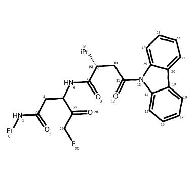 CCNC(=O)CC(NC(=O)[C@@H](CC(=O)n1c2ccccc2c2ccccc21)C(C)C)C(=O)CF